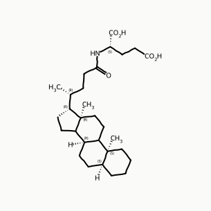 C[C@H](CCC(=O)N[C@@H](CCC(=O)O)C(=O)O)[C@H]1CCC2[C@@H]3CC[C@@H]4CCCC[C@]4(C)C3CC[C@@]21C